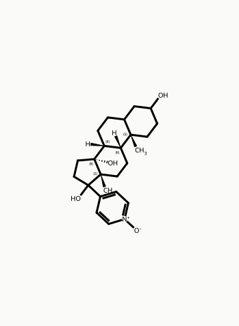 C[C@]12CCC(O)CC1CC[C@@H]1[C@H]2CC[C@]2(C)C(O)(c3cc[n+]([O-])cc3)CC[C@@]12O